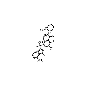 Cc1nc(C(C)(O)c2cc(Cl)c(F)c(C(=O)N[C@H]3CCCC[C@H]3O)c2OC(C)C)n2ccnc(N)c12